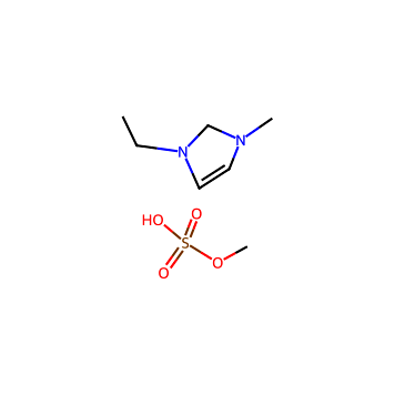 CCN1C=CN(C)C1.COS(=O)(=O)O